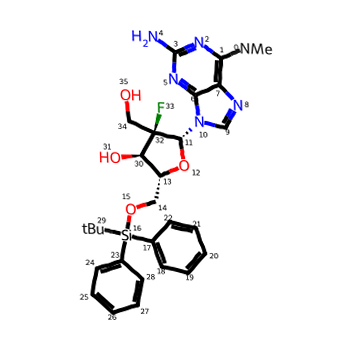 CNc1nc(N)nc2c1ncn2[C@@H]1O[C@H](CO[Si](c2ccccc2)(c2ccccc2)C(C)(C)C)[C@@H](O)[C@]1(F)CO